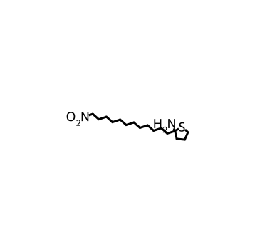 NC1(CCCCCCCCCCCC[N+](=O)[O-])CCCS1